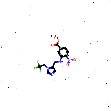 COC(=O)c1ccc([N+](=O)[O-])c(NCc2cncn2CC(F)(F)F)c1